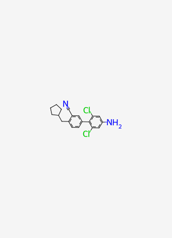 N#Cc1cc(-c2c(Cl)cc(N)cc2Cl)ccc1CC1CCCC1